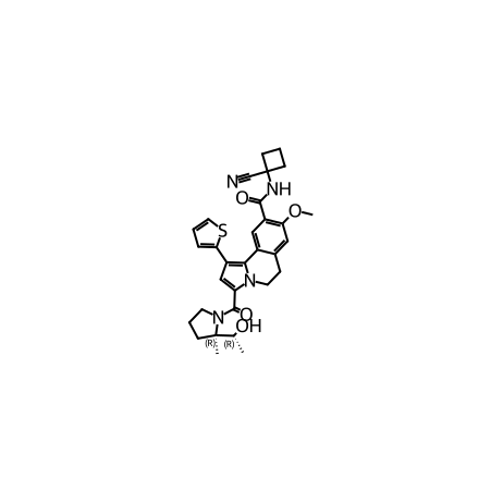 COc1cc2c(cc1C(=O)NC1(C#N)CCC1)-c1c(-c3cccs3)cc(C(=O)N3CCC[C@]3(C)[C@@H](C)O)n1CC2